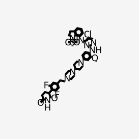 COc1cc(N2CCC(N3CCN(CCc4cc(F)c(C5CCC(=O)NC5=O)c(F)c4)CC3)CC2)ccc1Nc1ncc(Cl)c(Nc2cccc3c2N(S(C)(=O)=O)CC3)n1